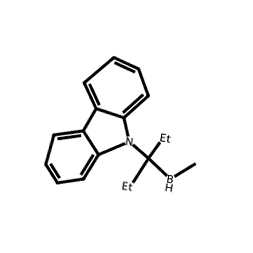 CBC(CC)(CC)n1c2ccccc2c2ccccc21